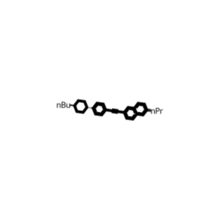 CCCC[C@H]1CC[C@H](c2ccc(C#Cc3ccc4cc(CCC)ccc4c3)cc2)CC1